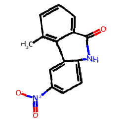 Cc1cccc2c(=O)[nH]c3ccc([N+](=O)[O-])cc3c12